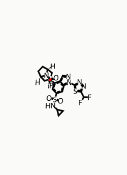 CC(C)C(=O)N1[C@@H]2CC[C@H]1CN(c1cc(S(=O)(=O)NC3CC3)cc3c1cnn3-c1nnc(C(F)F)s1)C2